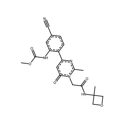 COC(=O)Nc1cc(C#N)ccc1-c1cc(=O)n(CC(=O)NC2(C)COC2)c(C)n1